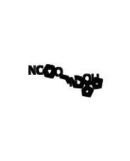 N#Cc1ccc(OCCCN2CCC(C(O)(C3CCCC3)C3CCCC3)CC2)cc1